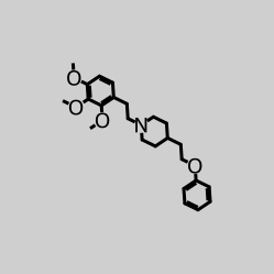 COc1ccc(CCN2CCC(CCOc3ccccc3)CC2)c(OC)c1OC